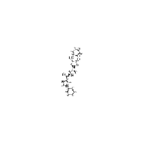 O=C(NCC(=O)N1CCC(Oc2ccccc2Cl)C1)c1cn(-c2ccccc2)cn1